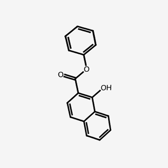 O=C(Oc1ccccc1)c1ccc2ccccc2c1O